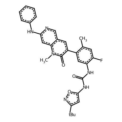 Cc1cc(F)c(NC(=O)Nc2cc(C(C)(C)C)no2)cc1-c1cc2cnc(Nc3ccccc3)cc2n(C)c1=O